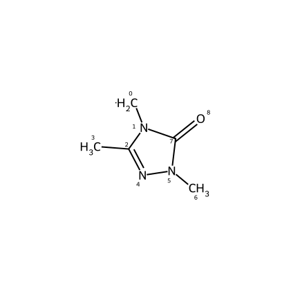 [CH2]n1c(C)nn(C)c1=O